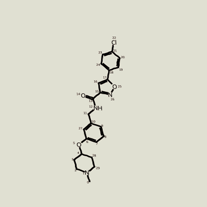 CN1CCC(Oc2cccc(CNC(=O)c3cc(-c4ccc(Cl)cc4)on3)c2)CC1